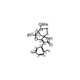 CON1CCC2(CC1)NC(=O)C(c1cc(C)ccc1C)=C2OC(=O)C(C)C